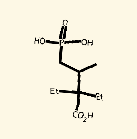 CCC(CC)(C(=O)O)C(C)CP(=O)(O)O